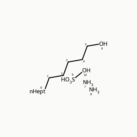 CCCCCCCCCCCCO.N.N.O=S(=O)(O)O